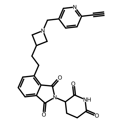 C#Cc1ccc(CN2CC(CCc3cccc4c3C(=O)N(C3CCC(=O)NC3=O)C4=O)C2)cn1